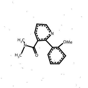 COc1ccccc1-c1ncccc1C(=O)N(C)C